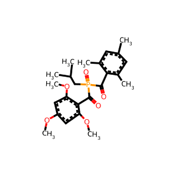 COc1cc(OC)c(C(=O)P(=O)(CC(C)C)C(=O)c2c(C)cc(C)cc2C)c(OC)c1